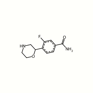 NC(=O)c1ccc(C2CNCCO2)c(F)c1